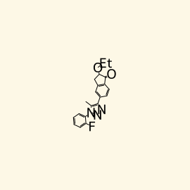 CCOC1Cc2cc(-c3nnn(-c4ccccc4F)c3C)ccc2C1=O